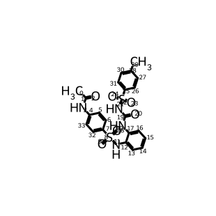 CC(=O)Nc1ccc(S(=O)(=O)Nc2ccccc2NC(=O)NS(=O)(=O)c2ccc(C)cc2)cc1